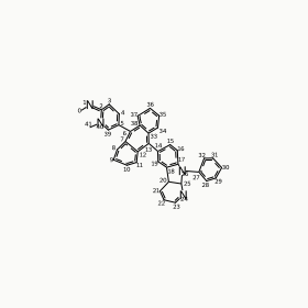 C/N=c1/ccc(-c2c3ccccc3c(-c3ccc4c(c3)C3C=CC=NC3N4c3ccccc3)c3ccccc23)cn1C